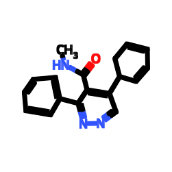 CNC(=O)c1c(C2C=CC=CC2)cnnc1-c1ccccc1